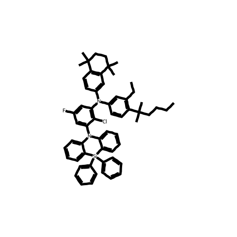 CCCCC(C)(C)c1ccc(N(c2ccc3c(c2)C(C)(C)CCC3(C)C)c2cc(F)cc(N3c4ccccc4[Si](c4ccccc4)(c4ccccc4)c4ccccc43)c2Cl)cc1CC